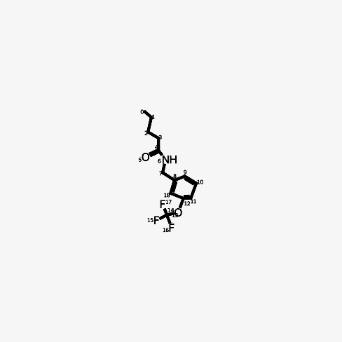 CCCCC(=O)NCc1cccc(OC(F)(F)F)c1